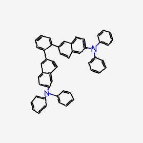 c1ccc(N(c2ccccc2)c2ccc3cc(-c4ccccc4-c4ccc5cc(N(c6ccccc6)c6ccccc6)ccc5c4)ccc3c2)cc1